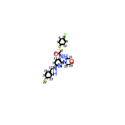 O=C(CSc1ccc(F)cc1)Nc1ccc(NCc2ccc(F)cc2)nc1N1CCOCC1